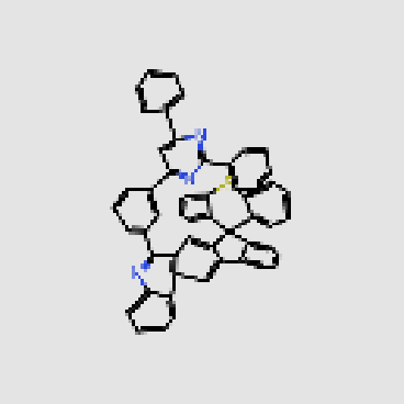 c1ccc(-c2cc(-c3cccc(-c4nc5ccccc5c5cc6c(cc45)C4(c5ccccc5Sc5ccccc54)c4ccccc4-6)c3)nc(-c3ccccc3)n2)cc1